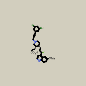 COc1ccc2nccc([C@H](F)CC[C@@H]3CCN(CC#Cc4cc(Cl)cc(Cl)c4)C[C@H]3CCC(=O)O)c2c1